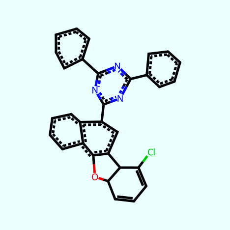 ClC1=CC=CC2Oc3c(cc(-c4nc(-c5ccccc5)nc(-c5ccccc5)n4)c4ccccc34)C12